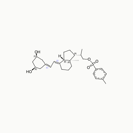 Cc1ccc(S(=O)(=O)OCC(C)[C@H]2CC[C@H]3/C(=C/C=C4/C[C@@H](O)C[C@@H](O)C4)CCC[C@]23C)cc1